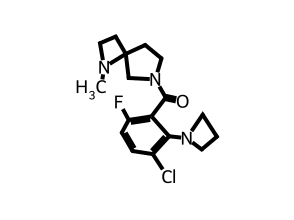 CN1CCC12CCN(C(=O)c1c(F)ccc(Cl)c1N1CCC1)C2